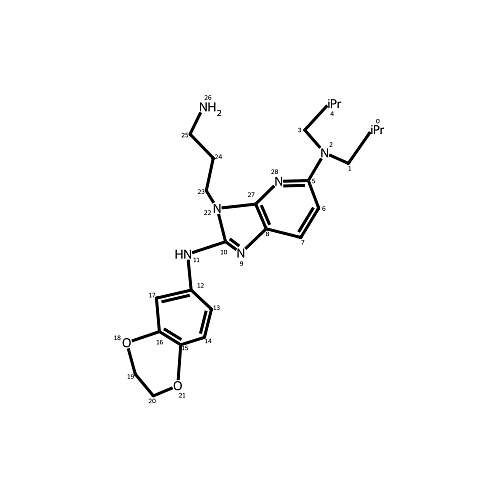 CC(C)CN(CC(C)C)c1ccc2nc(Nc3ccc4c(c3)OCCO4)n(CCCN)c2n1